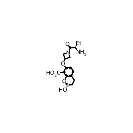 CC[C@@H](N)C(=O)N1CC(Oc2ccc3c(c2C(=O)O)OB(O)CC3)C1